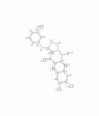 O=C(c1nc2cc(Cl)c(Cl)cc2nc1CF)N1CCCC1Cc1cccc(Cl)c1